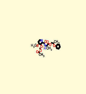 COc1ccnc(C(=O)N[C@@H](C)C(=O)OC[C@H](C)Oc2ccccc2)c1OCOC(C)=O